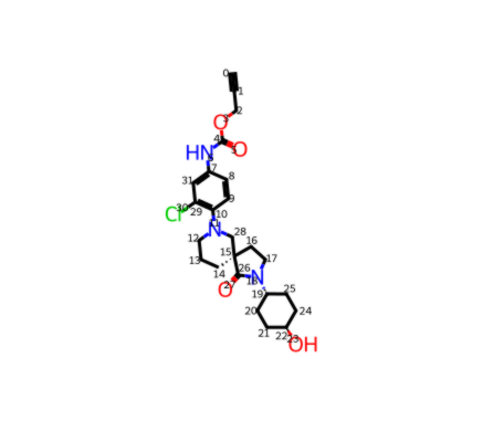 C#CCOC(=O)Nc1ccc(N2CCC[C@@]3(CCN([C@H]4CC[C@H](O)CC4)C3=O)C2)c(Cl)c1